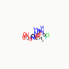 COc1nc(O[C@H]2CC[C@@H](C(=O)O)CC2)ccc1NC(=O)c1nnc(Nc2ccc(F)c(Cl)c2)o1